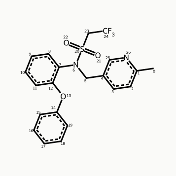 Cc1ccc(CN(c2ccccc2Oc2ccccc2)S(=O)(=O)CC(F)(F)F)cn1